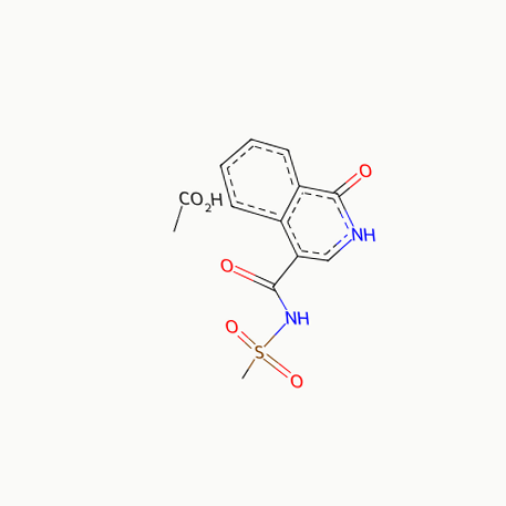 CC(=O)O.CS(=O)(=O)NC(=O)c1c[nH]c(=O)c2ccccc12